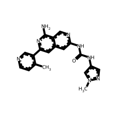 Cc1ccncc1-c1cc2cc(NC(=O)Nc3cnn(C)c3)ncc2c(N)n1